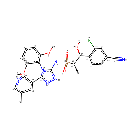 COc1cccc(OC)c1-n1c(NS(=O)(=O)[C@H](C)[C@@H](OC)c2ccc(C#N)cc2F)nnc1-c1cncc(C)c1